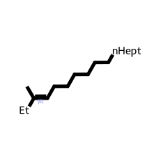 CCCCCCCCCCCCC/C=C(\C)CC